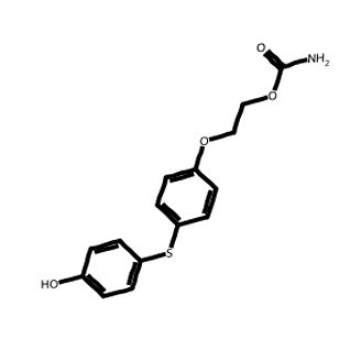 NC(=O)OCCOc1ccc(Sc2ccc(O)cc2)cc1